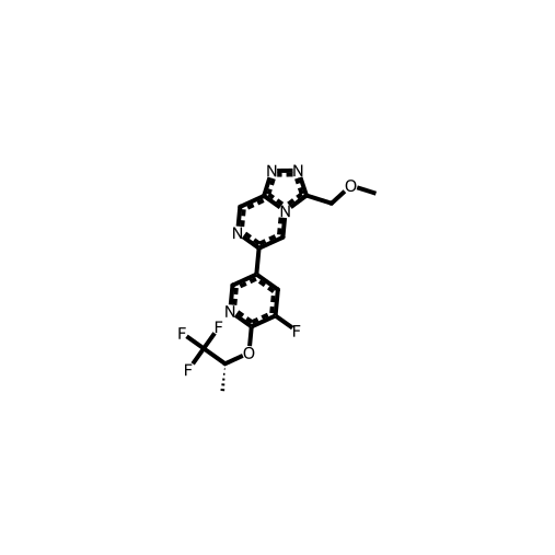 COCc1nnc2cnc(-c3cnc(O[C@H](C)C(F)(F)F)c(F)c3)cn12